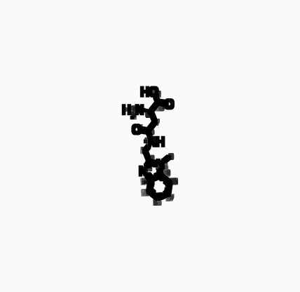 Cn1c(CNC(=O)C[C@H](N)C(=O)O)nc2ccccc21